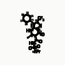 CCCS(=O)(=O)NC(=O)c1c(C)[nH]c2c(-c3ccccc3)c(C(F)(F)F)nn2c1=O